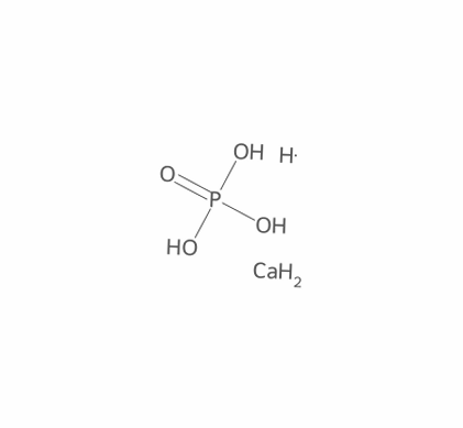 O=P(O)(O)O.[CaH2].[H]